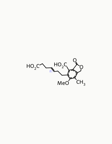 COc1c(C)c2c(c(C(=O)O)c1CC/C=C/CCC(=O)O)C(=O)OC2